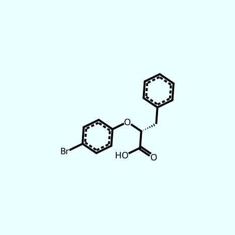 O=C(O)[C@@H](Cc1ccccc1)Oc1ccc(Br)cc1